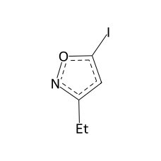 CCc1cc(I)on1